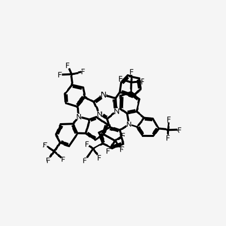 FC(F)(F)c1ccc(-n2c3ccc(C(F)(F)F)cc3c3cc(C(F)(F)F)ccc32)c(-c2nc(-c3ccccc3)nc(-c3cc(C(F)(F)F)ccc3-n3c4ccc(C(F)(F)F)cc4c4cc(C(F)(F)F)ccc43)n2)c1